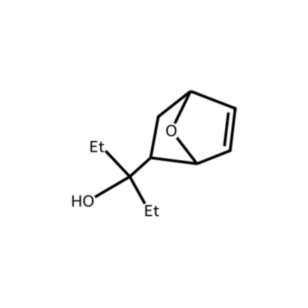 CCC(O)(CC)C1CC2C=CC1O2